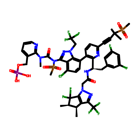 C[C@@H]1c2c(C(F)(F)F)nn(CC(=O)N[C@@H](Cc3cc(F)cc(F)c3)c3nc(C#CC(C)(C)S(C)(=O)=O)ccc3-c3ccc(Cl)c4c(N(C(=O)N(C)c5ncccc5COP(=O)(O)O)S(C)(=O)=O)nn(CC(F)(F)F)c34)c2C(F)(F)[C@@H]1C